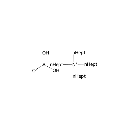 CCCCCCC[N+](CCCCCCC)(CCCCCCC)CCCCCCC.[O-]B(O)O